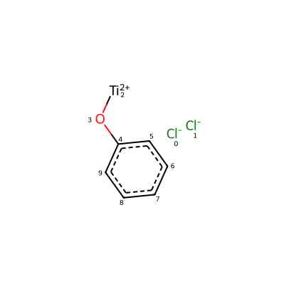 [Cl-].[Cl-].[Ti+2][O]c1ccccc1